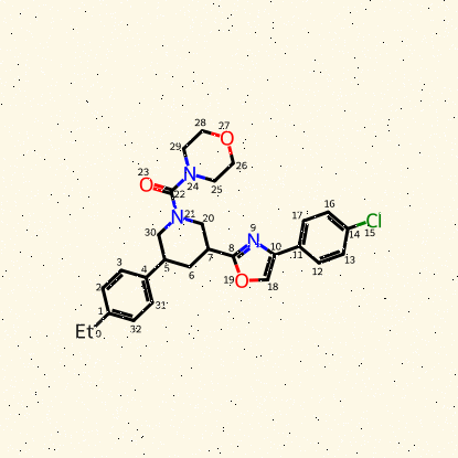 CCc1ccc(C2CC(c3nc(-c4ccc(Cl)cc4)co3)CN(C(=O)N3CCOCC3)C2)cc1